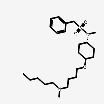 CCCCCN(C)CCCCO[C@H]1CC[C@H](N(C)S(=O)(=O)Cc2ccccc2)CC1